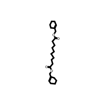 O=C(CCCCCCCCC(=O)OCC1=CCCCC1)OCC1=CCCCC1